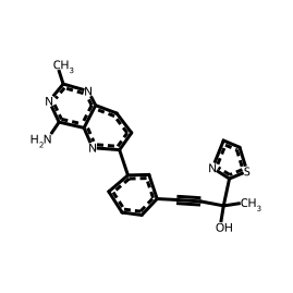 Cc1nc(N)c2nc(-c3cccc(C#CC(C)(O)c4nccs4)c3)ccc2n1